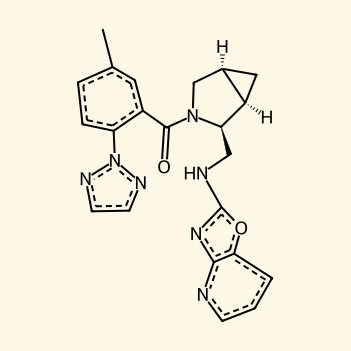 Cc1ccc(-n2nccn2)c(C(=O)N2C[C@H]3C[C@H]3[C@H]2CNc2nc3ncccc3o2)c1